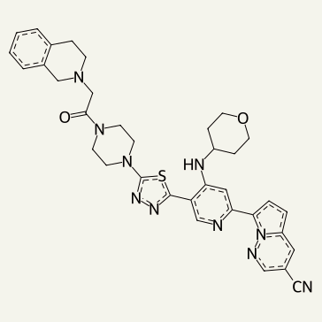 N#Cc1cnn2c(-c3cc(NC4CCOCC4)c(-c4nnc(N5CCN(C(=O)CN6CCc7ccccc7C6)CC5)s4)cn3)ccc2c1